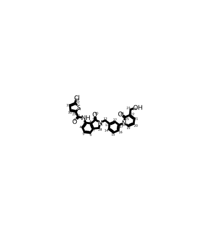 O=C(Nc1cccc2c1C(=O)N(Cc1cccc(-n3cccc(CO)c3=O)c1)C2)c1ccc(Cl)s1